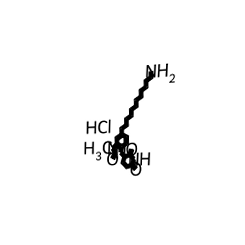 Cl.Cn1c(=O)n(C2CCC(=O)NC2=O)c2ccc(CCCCCCCCCCCCN)cc21